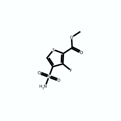 COC(=O)c1scc(S(N)(=O)=O)c1F